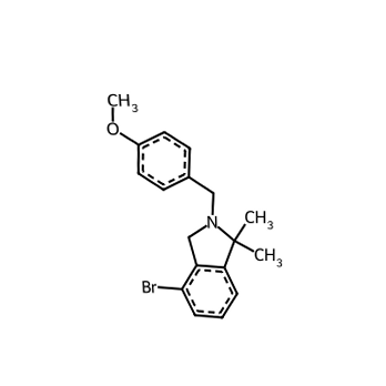 COc1ccc(CN2Cc3c(Br)cccc3C2(C)C)cc1